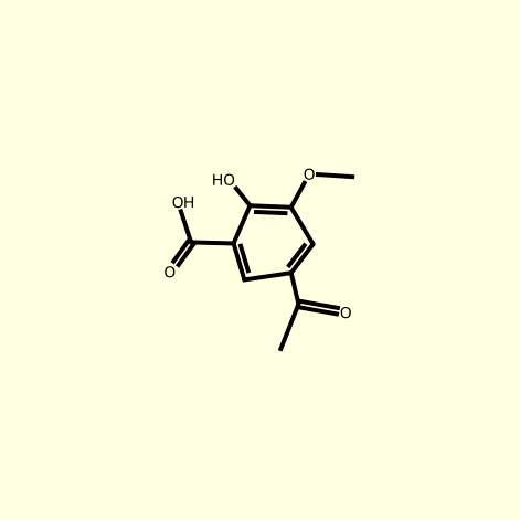 COc1cc(C(C)=O)cc(C(=O)O)c1O